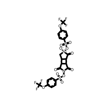 O=C1C2C3C[N+]([O-])(OS(=O)(=O)c4ccc(OC(F)(F)F)cc4)C(=O)C3C2C(=O)N1OS(=O)(=O)c1ccc(OC(F)(F)F)cc1